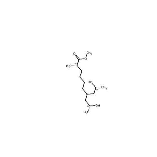 COC(=O)[C@@H](C)CCCCN(C[C@@H](C)O)C[C@@H](C)O